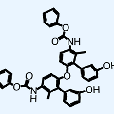 Cc1c(NC(=O)Oc2ccccc2)ccc(Oc2ccc(NC(=O)Oc3ccccc3)c(C)c2-c2cccc(O)c2)c1-c1cccc(O)c1